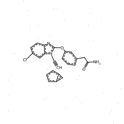 C#Cn1c(Oc2cccc(CC(N)=O)c2)nc2ccc(Cl)cc21.c1cc2cc-2c1